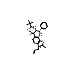 C=CCn1c(C)nc2c3c(ccc21)C(=O)[C@H](OC(=O)C(C)(C)C)[C@@H](c1ccccc1)O3